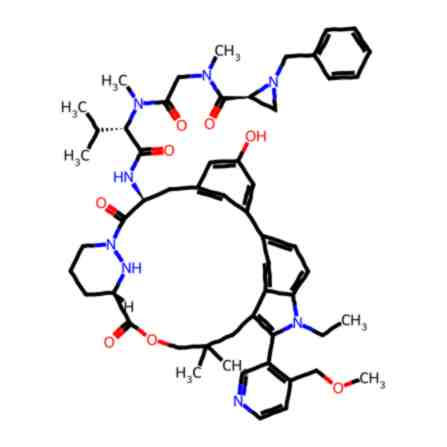 CCn1c(-c2cnccc2COC)c2c3cc(ccc31)-c1cc(O)cc(c1)C[C@H](NC(=O)[C@H](C(C)C)N(C)C(=O)CN(C)C(=O)[C@@H]1CN1Cc1ccccc1)C(=O)N1CCC[C@H](N1)C(=O)OCC(C)(C)C2